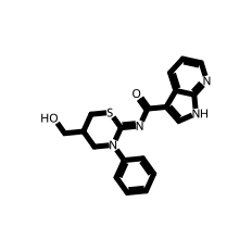 O=C(/N=C1\SCC(CO)CN1c1ccccc1)c1c[nH]c2ncccc12